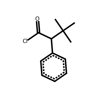 CC(C)(C)C(C(=O)Cl)c1ccccc1